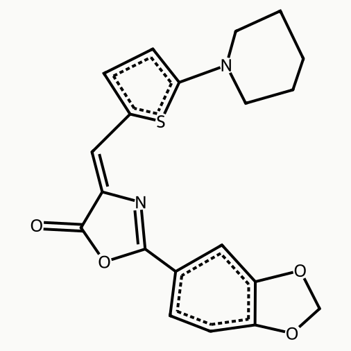 O=C1OC(c2ccc3c(c2)OCO3)=N/C1=C\c1ccc(N2CCCCC2)s1